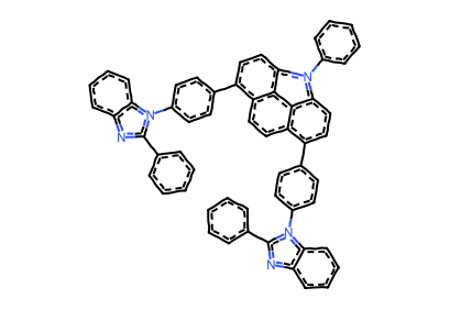 c1ccc(-c2nc3ccccc3n2-c2ccc(-c3ccc4c5c3ccc3c(-c6ccc(-n7c(-c8ccccc8)nc8ccccc87)cc6)ccc(c35)n4-c3ccccc3)cc2)cc1